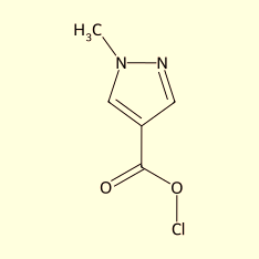 Cn1cc(C(=O)OCl)cn1